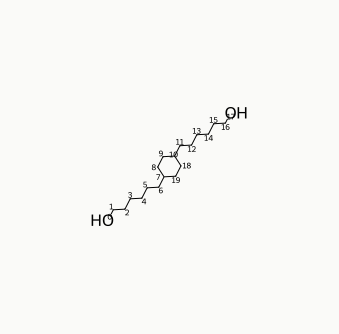 OCCCCCCC1CCC(CCCCCCO)CC1